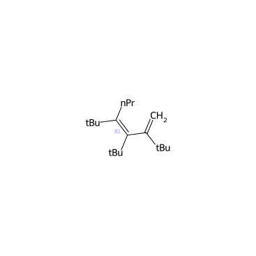 C=C(/C(=C(\CCC)C(C)(C)C)C(C)(C)C)C(C)(C)C